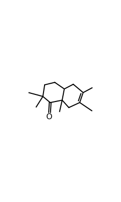 CC1=C(C)CC2(C)C(=O)C(C)(C)CCC2C1